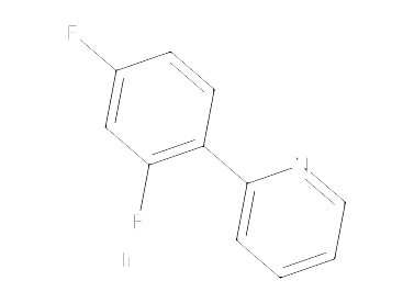 Fc1ccc(-c2ccccn2)c(F)c1.[Ir+3]